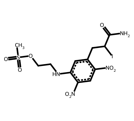 CS(=O)(=O)OCCNc1cc(CC(I)C(N)=O)c([N+](=O)[O-])cc1[N+](=O)[O-]